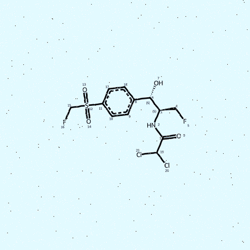 O=C(N[C@H](CF)[C@@H](O)c1ccc(S(=O)(=O)CF)cc1)C(Cl)Cl